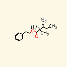 CCC(C)C(C)(C)C(=O)OCCc1ccccc1